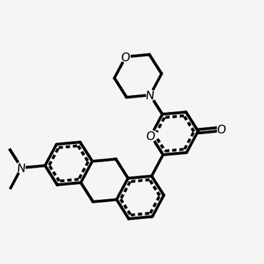 CN(C)c1ccc2c(c1)Cc1cccc(-c3cc(=O)cc(N4CCOCC4)o3)c1C2